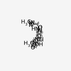 Cn1ncc(C2CC2C(=O)Nc2cc3cc(N4CCN(C5(C)COCC5O)CC4)c(Cl)cc3cn2)n1